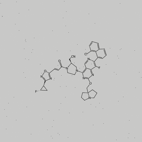 N#CC[C@H]1CN(c2nc(OCC34CCCN3CCC4)nc3c(F)c(-c4cccc5cccc(Cl)c45)ncc23)CCN1C(=O)/C=C/c1nc([C@H]2C[C@@H]2F)no1